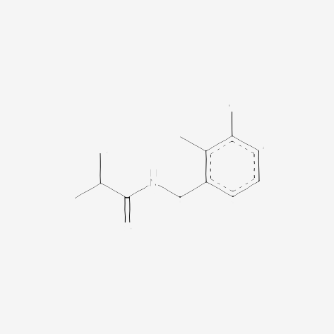 Cc1c(Cl)cccc1CNC(=O)C(C)C